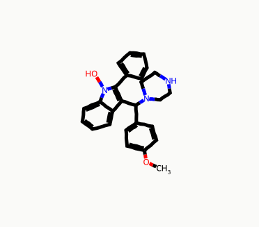 COc1ccc(C(c2c(-c3ccccc3)n(O)c3ccccc23)N2CCNCC2)cc1